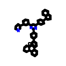 CC12C=CC=CC1c1ccccc1-c1ccc(-c3ccc(-c4nc(-c5ccc(-c6cccc7ccccc67)cc5)cc(-c5cccc(-c6cccnc6)c5)n4)cc3)cc12